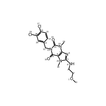 COCCNc1nc2c(c(=O)n(Cc3ccc(Cl)c(Cl)c3)c(=O)n2C)n1C